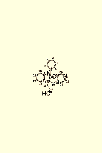 O=C1N(c2ccccc2)c2ccccc2C1(CCO)Cc1ccncc1